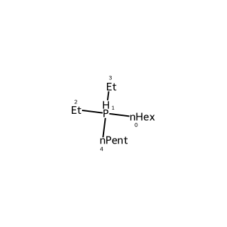 CCCCCC[PH](CC)(CC)CCCCC